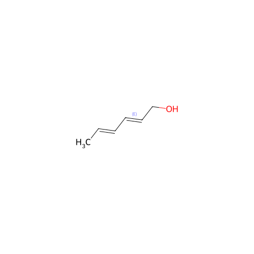 CC=C/C=C/CO